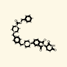 O=C1CCC(N2C(=O)c3ccc(N4CCN(Cc5ccc(CN6CCN(C(=O)OCc7ccccc7)CC6)cc5)CC4)cc3C2=O)C(=O)N1